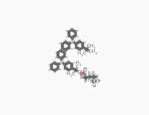 CC(C)(C)c1ccc([S+](c2ccccc2)c2ccccc2)cc1.CC(C)(C)c1ccc([S+](c2ccccc2)c2ccccc2)cc1.O=S(=O)([O-])C(F)(F)C(F)(F)C(F)(F)S(=O)(=O)[O-]